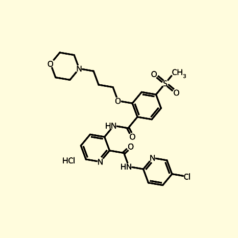 CS(=O)(=O)c1ccc(C(=O)Nc2cccnc2C(=O)Nc2ccc(Cl)cn2)c(OCCCN2CCOCC2)c1.Cl